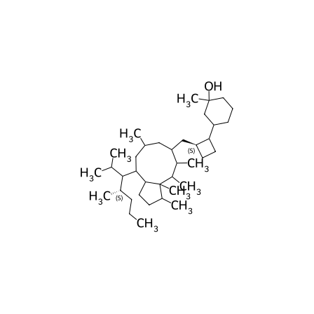 CCC[C@H](C)C(C(C)C)C1CC(C)CC(C[C@@H]2CCC2C2CCCC(C)(O)C2)C(C)C(C)C2(C)C(C)CCC12